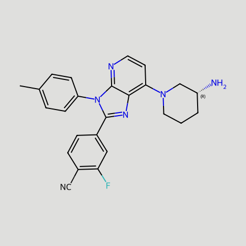 Cc1ccc(-n2c(-c3ccc(C#N)c(F)c3)nc3c(N4CCC[C@@H](N)C4)ccnc32)cc1